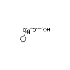 OCCCOC[C@@H]1COC(c2ccccc2)=N1